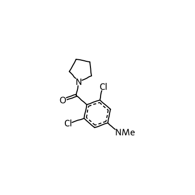 CNc1cc(Cl)c(C(=O)N2CCCC2)c(Cl)c1